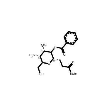 CNC(=O)CO[C@@H]1OC(CO)[C@H](C)[C@H](C)C1OC(=O)c1ccccc1